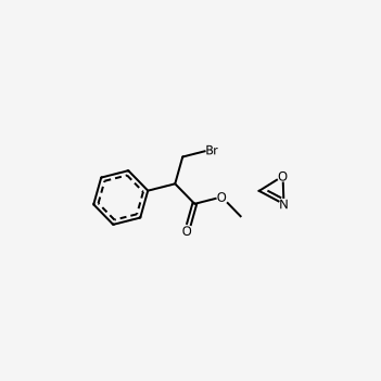 C1=NO1.COC(=O)C(CBr)c1ccccc1